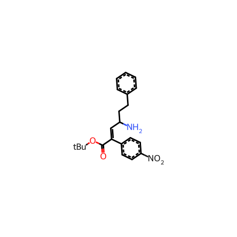 CC(C)(C)OC(=O)C(=CC(N)CCc1ccccc1)c1ccc([N+](=O)[O-])cc1